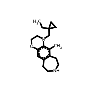 CCC1(CN2CCOc3cc4c(c(C)c32)CCNCC4)CC1